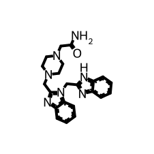 NC(=O)CN1CCN(Cc2nc3ccccc3n2Cc2nc3ccccc3[nH]2)CC1